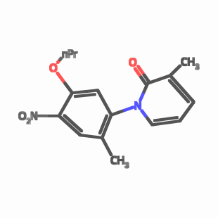 CCCOc1cc(-n2cccc(C)c2=O)c(C)cc1[N+](=O)[O-]